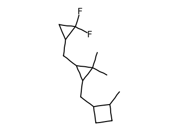 CC1CCC1CC1C(CC2CC2(F)F)C1(C)C